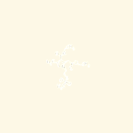 CCOC(=O)Cc1c(C(=O)OCC)c(C)cn1CCOS(C)(=O)=O